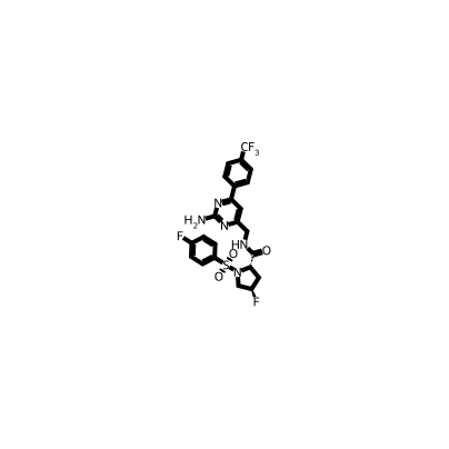 Nc1nc(CNC(=O)[C@@H]2C[C@@H](F)CN2S(=O)(=O)c2ccc(F)cc2)cc(-c2ccc(C(F)(F)F)cc2)n1